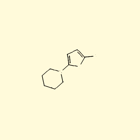 CC(=O)c1ccc(N2CCCCC2)s1